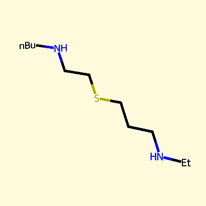 CCCCNCCSCCCNCC